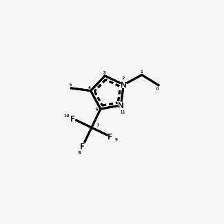 CCn1cc(C)c(C(F)(F)F)n1